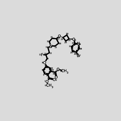 COC(=O)c1ccc(OCC(F)CCN2CCC(O[C@H]3C[C@H](Oc4ccc(Br)cn4)C3)CC2)cc1C(=O)OC